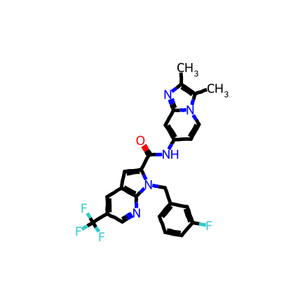 Cc1nc2cc(NC(=O)c3cc4cc(C(F)(F)F)cnc4n3Cc3cccc(F)c3)ccn2c1C